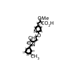 COC(Cc1ccc(OCCc2nc(-c3cccc(C)c3)oc2C)nc1)C(=O)O